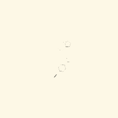 COCC#Cc1ccc(C(=O)N2CCC3(CC2)c2ccc(Cl)n2CCN3C)cc1F